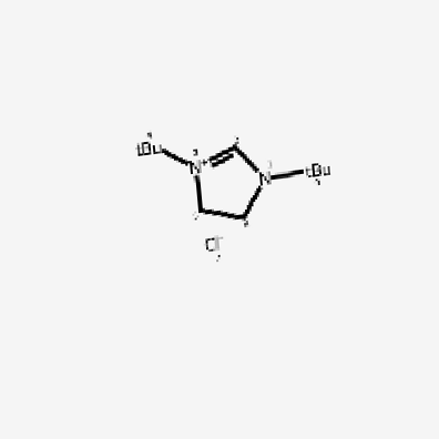 CC(C)(C)N1C=[N+](C(C)(C)C)CC1.[Cl-]